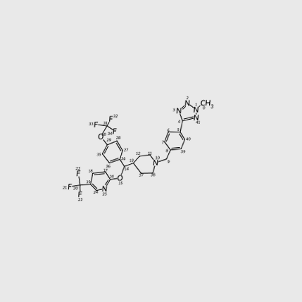 Cn1nnc(-c2ccc(CN3CCC(C(Oc4ccc(C(F)(F)F)cn4)c4ccc(OC(F)(F)F)cc4)CC3)cc2)n1